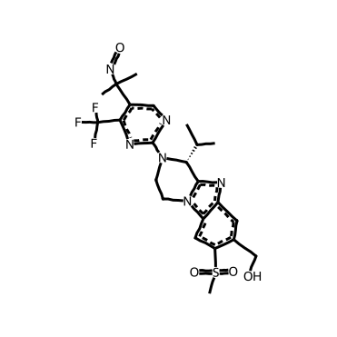 CC(C)[C@@H]1c2nc3cc(CO)c(S(C)(=O)=O)cc3n2CCN1c1ncc(C(C)(C)N=O)c(C(F)(F)F)n1